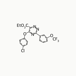 CCOC(=O)c1nnc(-c2cccc(OC(F)(F)F)c2)nc1Oc1ccc(Cl)cc1